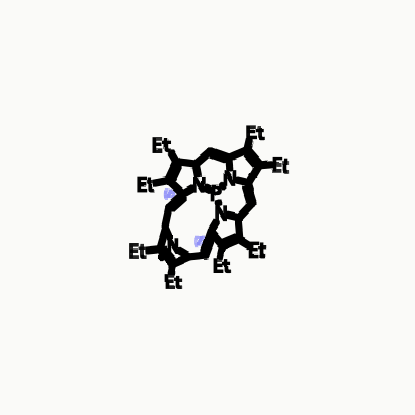 CCC1=C(CC)C2C=c3c(CC)c(CC)c4n3P3N2/C1=C\C1C(CC)=C(CC)C(/C=C2/C(CC)=C(CC)C(C=4)N23)N1C